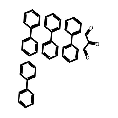 O=CC(=O)C=O.c1ccc(-c2ccccc2)cc1.c1ccc(-c2ccccc2)cc1.c1ccc(-c2ccccc2)cc1.c1ccc(-c2ccccc2)cc1